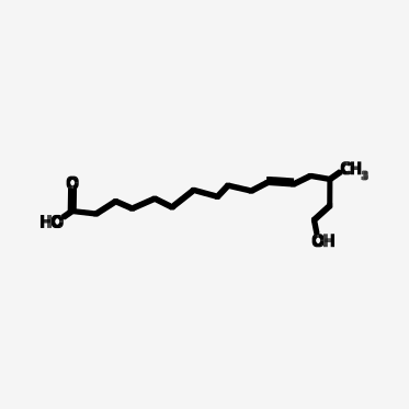 CC(CC=CCCCCCCCCCC(=O)O)CCO